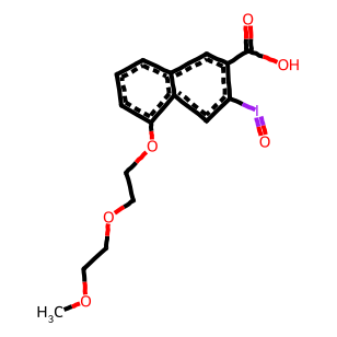 COCCOCCOc1cccc2cc(C(=O)O)c(I=O)cc12